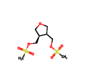 CS(=O)(=O)OCC1COC[C@@H]1COS(C)(=O)=O